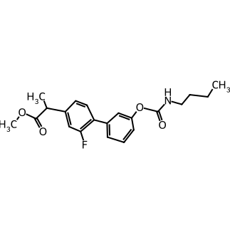 CCCCNC(=O)Oc1cccc(-c2ccc(C(C)C(=O)OC)cc2F)c1